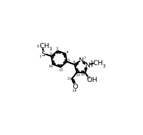 CSc1ccc(-c2nn(C)c(O)c2C=O)cc1